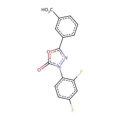 O=C(O)c1cccc(-c2nn(-c3ccc(F)cc3F)c(=O)o2)c1